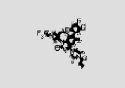 C=CC(=O)N1[C@H](C)CN(c2nc(=O)n3c4c(c(-c5cc(Cl)c(F)cc5F)c(C)cc24)SCCC2(CN(CC(F)(F)F)C2)C3)C[C@@H]1C